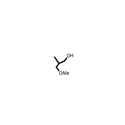 [CH2]C(CO)COC